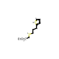 CCOC(=O)CSCCCc1cccs1